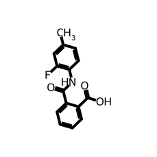 Cc1ccc(NC(=O)c2ccccc2C(=O)O)c(F)c1